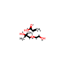 C=CC(=O)O.CC(C)(O)COCCO